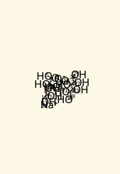 CC(O)C(=O)O.CC(O)C(=O)[O-].OCC(O)CO.OC[C@@H](O)[C@@H](O)[C@H](O)[C@@H](O)CO.[Na+]